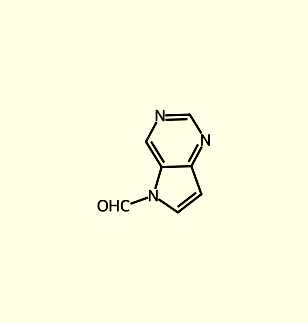 O=Cn1ccc2ncncc21